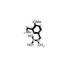 COc1ccc(CB(C)P(O)O)cc1CC(C)(C)C